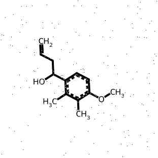 C=CCC(O)c1ccc(OC)c(C)c1C